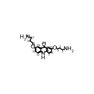 NCCCOc1ccc2[nH]c3ccc(OCCCN)cc3c(=O)c2c1